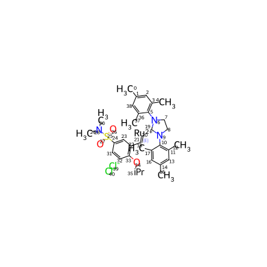 Cc1cc(C)c(N2CCN(c3c(C)cc(C)cc3C)[CH]2/[Ru+2]=[CH]/c2cc(S(=O)(=O)N(C)C)ccc2OC(C)C)c(C)c1.[Cl-].[Cl-]